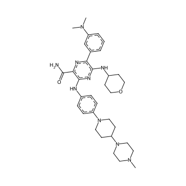 CN1CCN(C2CCN(c3ccc(Nc4nc(NC5CCOCC5)c(-c5cccc(N(C)C)c5)nc4C(N)=O)cc3)CC2)CC1